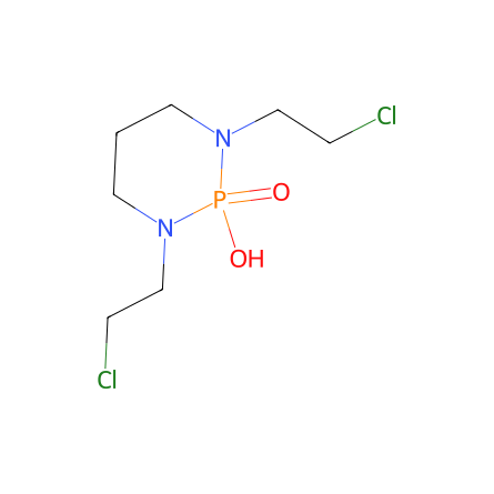 O=P1(O)N(CCCl)CCCN1CCCl